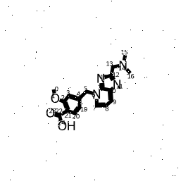 COc1cc(Cn2cccc3nc(CN(C)C)nc2-3)ccc1C(=O)O